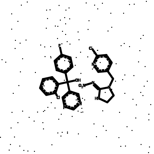 O=[N+]([O-])/N=C1\NCCN1Cc1ccc(Cl)nc1.OC(c1ccc(F)cc1)(c1cncnc1)c1ccccc1Cl